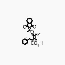 CC(ON=[N+]([O-])N(C)[C@@H](Cc1ccccc1)C(=O)O)N1C(=O)c2ccccc2C1=O